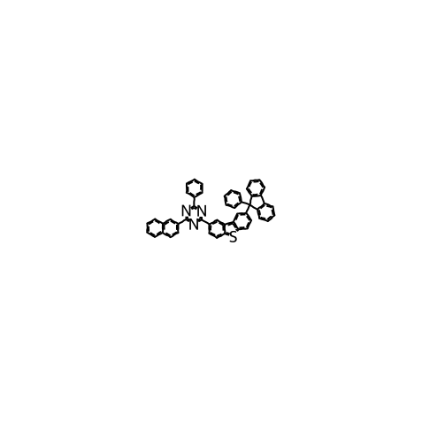 c1ccc(-c2nc(-c3ccc4ccccc4c3)nc(-c3ccc4sc5ccc(C6(c7ccccc7)c7ccccc7-c7ccccc76)cc5c4c3)n2)cc1